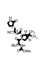 COC(=O)N[C@H](C(=O)N1C[C@H]2[C@@H]([C@H]1C(=O)N[C@H](C#N)C[C@@H]1CCNC1=O)C2(C)C)C(C)(C)C